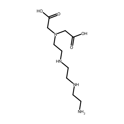 NCCNCCNCCN(CC(=O)O)CC(=O)O